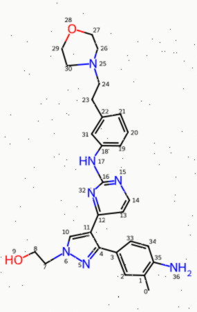 Cc1cc(-c2nn(CCO)cc2-c2ccnc(Nc3cccc(CCN4CCOCC4)c3)n2)ccc1N